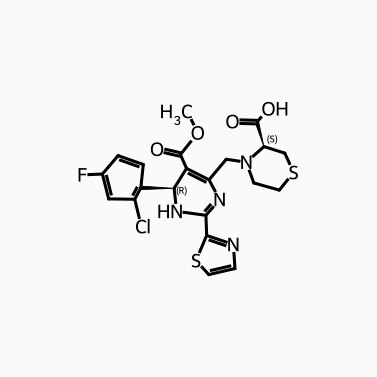 COC(=O)C1=C(CN2CCSC[C@@H]2C(=O)O)N=C(c2nccs2)N[C@H]1c1ccc(F)cc1Cl